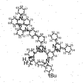 CC(C)(C)c1ccc2c(c1)c1cc3ccc1n2-c1ccc(-c2nc(-c4ccccc4)cc(-c4ccccc4)n2)cc1-c1nc(-c2cccc(-c4ccc(N5c6ccccc6B6c7ccccc7N(c7ccccc7)c7cccc5c76)cc4)c2)nc(n1)-c1ccccc1C3(C)C